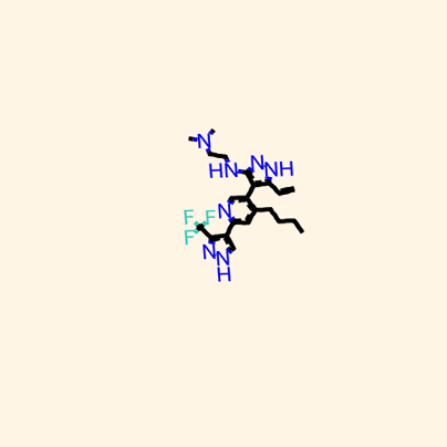 C=Cc1[nH]nc(NCCN(C)C)c1-c1cnc(-c2c[nH]nc2C(F)(F)F)cc1CCCC